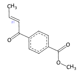 C/C=C/C(=O)c1ccc(C(=O)OC)cc1